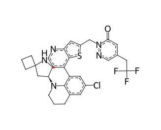 O=c1cc(CC(F)(F)F)cnn1Cc1cc2nccc(-c3cc(Cl)cc4c3N([C@@H]3CNC5(CCC5)C3)CCC4)c2s1